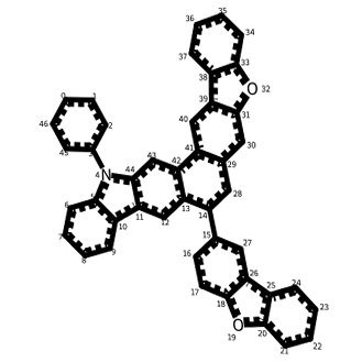 c1ccc(-n2c3ccccc3c3cc4c(-c5ccc6oc7ccccc7c6c5)cc5cc6oc7ccccc7c6cc5c4cc32)cc1